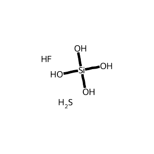 F.O[Si](O)(O)O.S